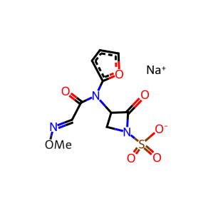 CON=CC(=O)N(c1ccco1)C1CN(S(=O)(=O)[O-])C1=O.[Na+]